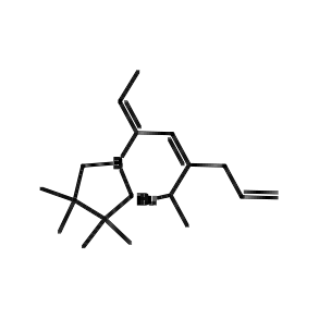 C=CC/C(=C/C(=C\C)B1CC(C)(C)C(C)(C)C1)C(C)C(C)CC